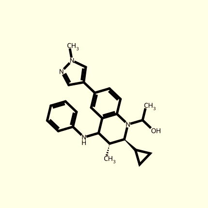 CC(O)N1c2ccc(-c3cnn(C)c3)cc2C(Nc2ccccc2)[C@@H](C)[C@@H]1C1CC1